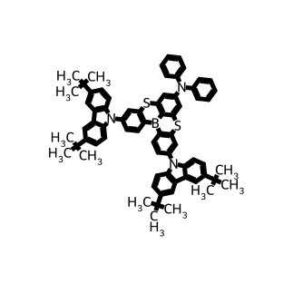 CC(C)(C)c1ccc2c(c1)c1cc(C(C)(C)C)ccc1n2-c1ccc2c(c1)Sc1cc(N(c3ccccc3)c3ccccc3)cc3c1B2c1ccc(-n2c4ccc(C(C)(C)C)cc4c4cc(C(C)(C)C)ccc42)cc1S3